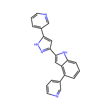 c1cncc(-c2cc(-c3cc4c(-c5cccnc5)cccc4[nH]3)n[nH]2)c1